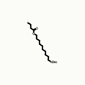 CCCCCCCCCCCCCCCCCCCCOC(=O)CCI